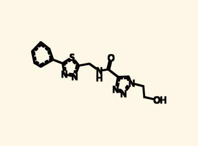 O=C(NCc1nnc(-c2ccccc2)s1)c1cn(CCO)nn1